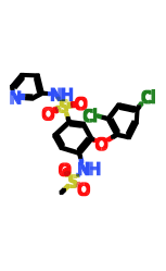 CS(=O)(=O)Nc1ccc(S(=O)(=O)Nc2cccnc2)cc1Oc1ccc(Cl)cc1Cl